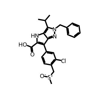 CC(C)c1c2[nH]c(C(=O)O)c(-c3ccc(C[S+](C)[O-])c(Cl)c3)c2nn1Cc1ccccc1